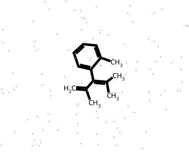 C=C(C)C(=C(C)C)c1ccccc1C